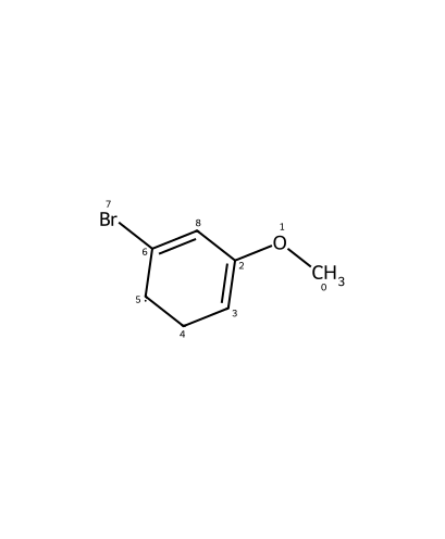 COC1=CC[CH]C(Br)=C1